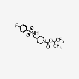 O=C(OC(C(F)(F)F)C(F)(F)F)N1CCC(CNS(=O)(=O)c2ccc(F)cc2)CC1